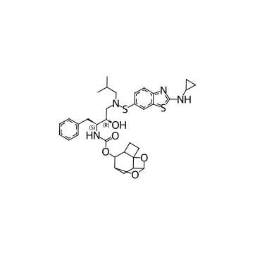 CC(C)CN(C[C@@H](O)[C@H](Cc1ccccc1)NC(=O)OC1C2CC3C(O2)OC32CCC12)Sc1ccc2nc(NC3CC3)sc2c1